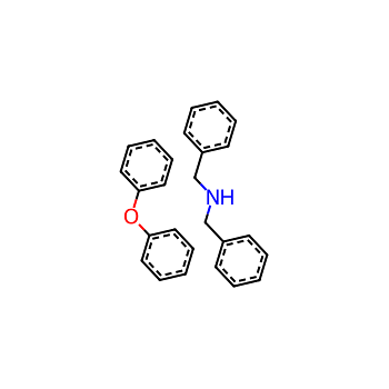 c1ccc(CNCc2ccccc2)cc1.c1ccc(Oc2ccccc2)cc1